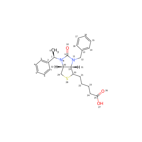 C[C@H](c1ccccc1)N1C(=O)N(Cc2ccccc2)[C@@H]2C(CCCCC(=O)O)SC[C@@H]21